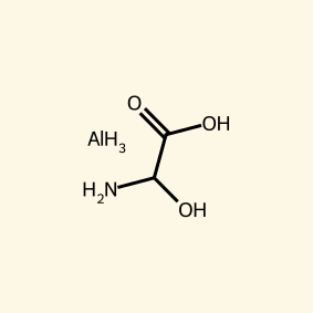 NC(O)C(=O)O.[AlH3]